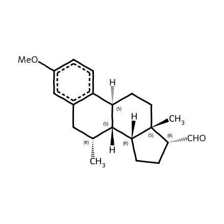 COc1ccc2c(c1)C[C@@H](C)[C@@H]1[C@@H]2CC[C@]2(C)[C@H](C=O)CC[C@H]12